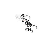 CCCc1ccc(OC(=O)Oc2ccc(C3(c4ccccc4)CCC(C)(C)C(C)C3)cc2)c(OC)c1